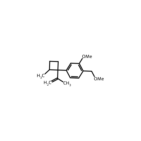 C=C(C)C1(c2ccc(COC)c(OC)c2)CCC1C